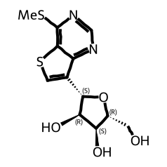 CSc1ncnc2c([C@@H]3O[C@H](CO)[C@@H](O)[C@H]3O)csc12